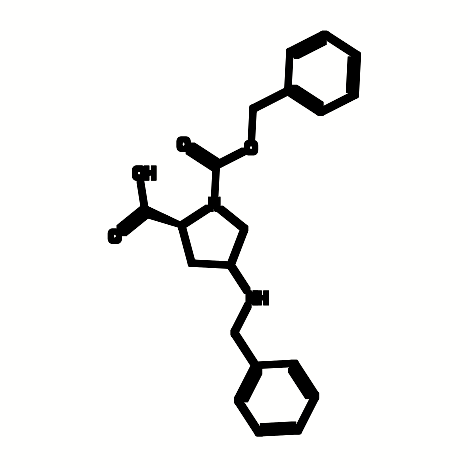 O=C(O)[C@@H]1CC(NCc2ccccc2)CN1C(=O)OCc1ccccc1